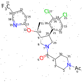 CC(=O)N1CCC(C(=O)N2C[C@H]([C@H](C)Oc3ccc(C(F)(F)F)cn3)[C@@H](c3ccc(Cl)c(Cl)c3)C2)CC1